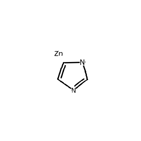 C1=CN=C[N]1.[Zn]